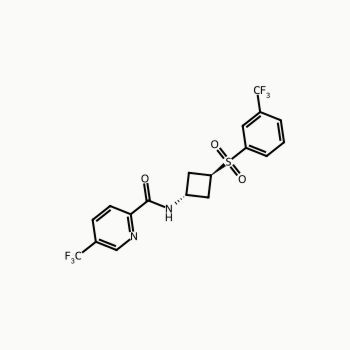 O=C(N[C@H]1C[C@H](S(=O)(=O)c2cccc(C(F)(F)F)c2)C1)c1ccc(C(F)(F)F)cn1